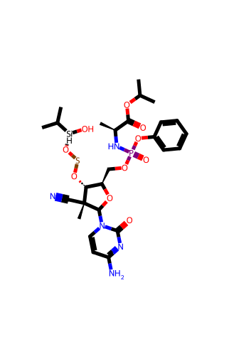 CC(C)OC(=O)[C@H](C)NP(=O)(OC[C@H]1OC(n2ccc(N)nc2=O)[C@](C)(C#N)[C@@H]1OSO[SiH](O)C(C)C)Oc1ccccc1